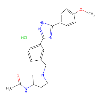 COc1ccc(-c2nc(-c3cccc(CN4CCC(NC(C)=O)C4)c3)n[nH]2)cc1.Cl